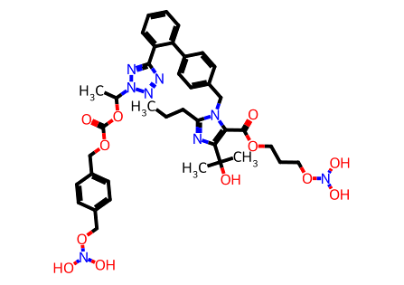 CCCc1nc(C(C)(C)O)c(C(=O)OCCCON(O)O)n1Cc1ccc(-c2ccccc2-c2nnn(C(C)OC(=O)OCc3ccc(CON(O)O)cc3)n2)cc1